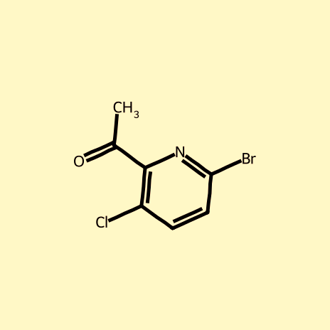 CC(=O)c1nc(Br)ccc1Cl